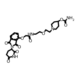 NC(=O)OC1CCN(CCOCCNC(=O)COc2cccc3c2C(=O)N(C2CCC(=O)NC2=O)C3=O)CC1